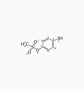 CS(=O)(=O)Oc1ccc(S)cc1